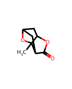 CC12OC3CC1OC(=O)C2C3